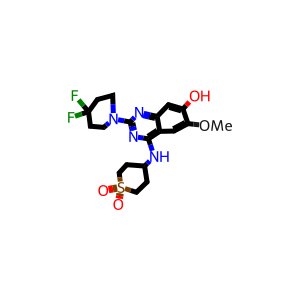 COc1cc2c(NC3CCS(=O)(=O)CC3)nc(N3CCC(F)(F)CC3)nc2cc1O